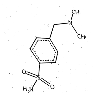 [CH]N([CH])Cc1ccc(S(N)(=O)=O)cc1